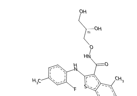 Cc1ccc(Nc2sc3nccc(C)c3c2C(=O)NOC[C@@H](O)CO)c(F)c1